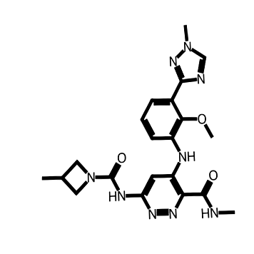 CNC(=O)c1nnc(NC(=O)N2CC(C)C2)cc1Nc1cccc(-c2ncn(C)n2)c1OC